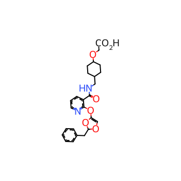 O=C(O)COC1CCC(CNC(=O)c2cccnc2OC2=COC(Cc3ccccc3)O2)CC1